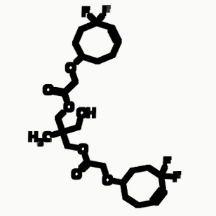 CC(CO)(COC(=O)COC1CCC#CC(F)(F)CC1)COC(=O)COC1CC/C=C\C(F)(F)CC1